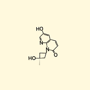 C[C@]1(O)C[C@@H](n2c(=O)ccc3cc(O)cnc32)C1